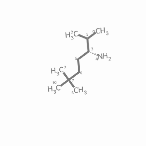 CC(C)[C@H](N)CCC(C)(C)C